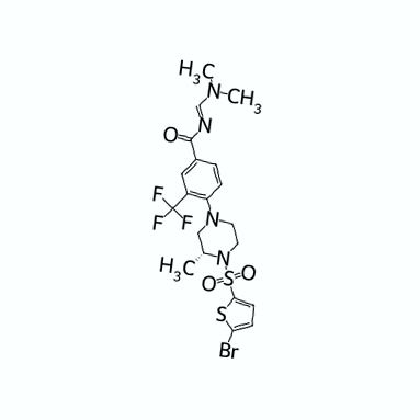 C[C@@H]1CN(c2ccc(C(=O)/N=C/N(C)C)cc2C(F)(F)F)CCN1S(=O)(=O)c1ccc(Br)s1